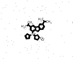 CC(C)c1ccc2c(c1)-c1cc(C(C)C)c[c]([Ti+2]([C]3=CC=CC3)=[C]3CCCC3)c1C2.[Cl-].[Cl-]